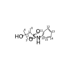 CC(C(C)(C)O)S(=O)(=O)Nc1ccccc1